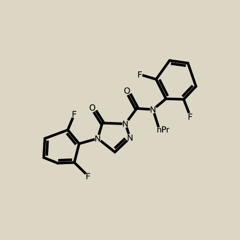 CCCN(C(=O)n1ncn(-c2c(F)cccc2F)c1=O)c1c(F)cccc1F